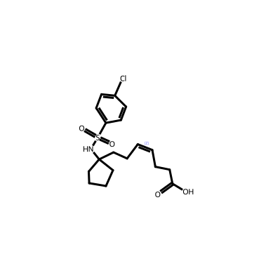 O=C(O)CC/C=C\CCC1(NS(=O)(=O)c2ccc(Cl)cc2)CCCC1